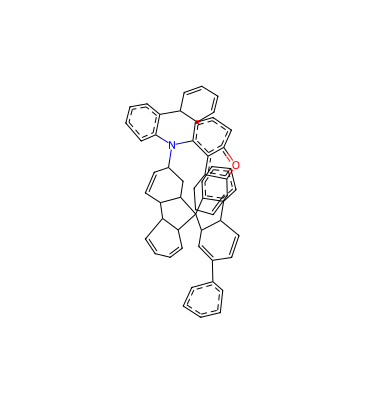 C1=CCC(c2ccccc2N(c2cccc3oc4c(c23)CCC=C4)C2C=CC3C4C=CC=CC4C4(c5ccccc5C5C=CC(c6ccccc6)=CC54)C3C2)C=C1